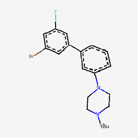 CC(C)(C)N1CCN(c2cccc(-c3cc(F)cc(Br)c3)c2)CC1